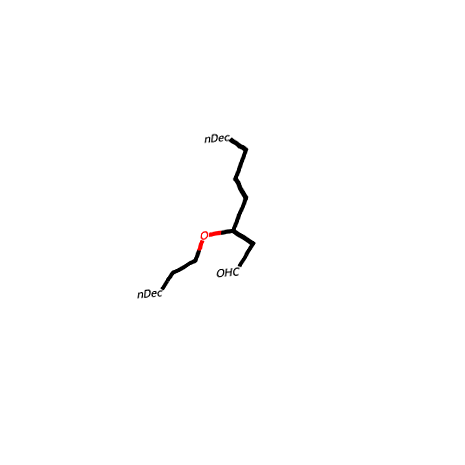 CCCCCCCCCCCCCC(CC=O)OCCCCCCCCCCCC